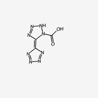 O=C(O)N1NN=NC1=C1N=NN=N1